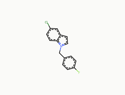 Fc1ccc(Cn2[c]cc3cc(Cl)ccc32)cc1